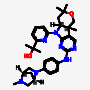 CN1C[C@H]2C[C@@H]1CN2c1ccc(Nc2ncc3c(n2)N(c2cccc(C(C)(C)O)n2)[C@@H]2CC(C)(C)OC[C@]32C)cc1